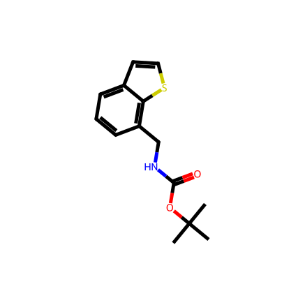 CC(C)(C)OC(=O)NCc1cccc2ccsc12